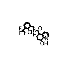 O=C(NCc1cccc(C(F)(F)F)c1Cl)C1CCC(O)c2ncccc21